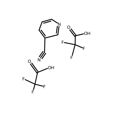 N#Cc1cccnc1.O=C(O)C(F)(F)F.O=C(O)C(F)(F)F